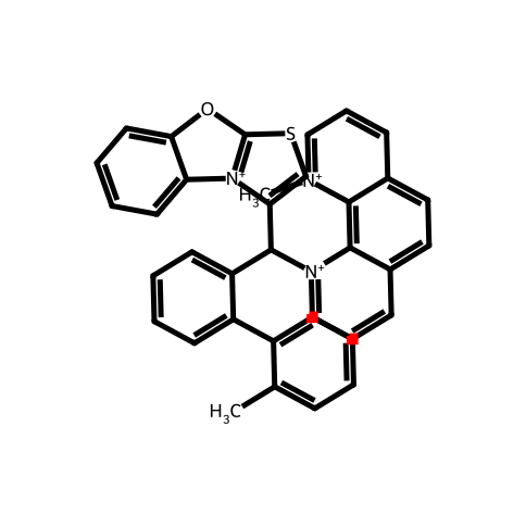 Cc1ccccc1-c1ccccc1C(c1csc2oc3ccccc3[n+]12)[n+]1cccc2ccc3ccc[n+](C)c3c21